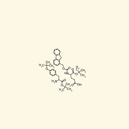 CC(C)(C)OC(=O)C(CCC(=O)O)NC(=O)OCc1cccc2c1Cc1ccccc1-2.CC(C)(C)OC(=O)C(N)Cc1ccc(OC(C)(C)C)cc1